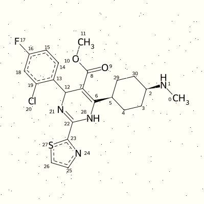 CN[C@H]1CC[C@@H](C2=C(C(=O)OC)C(c3ccc(F)cc3Cl)N=C(c3nccs3)N2)CC1